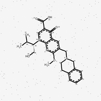 COc1nc2c(cc1CN1CCc3ccccc3C1)c(=O)c(C(=O)O)cn2[C@H](CO)C(C)C